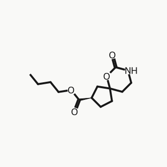 CCCCOC(=O)[C@@H]1CCC2(CCNC(=O)O2)C1